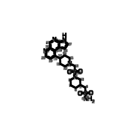 NS(=O)(=O)CC1CCCN(S(=O)(=O)CN2CCC(c3ccnc4cnc5[nH]ccc5c34)CC2)C1